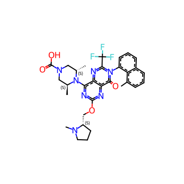 Cc1cccc2cccc(-n3c(C(F)(F)F)nc4c(N5[C@@H](C)CN(C(=O)O)C[C@@H]5C)nc(OC[C@@H]5CCCN5C)nc4c3=O)c12